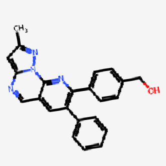 Cc1cc2ncc3cc(-c4ccccc4)c(-c4ccc(CO)cc4)nc3n2n1